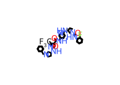 O=C(Nc1ccc(N[C@@H]2CCN(C(=O)Nc3ccccc3F)C2)nc1)c1oc(NC2CCN(Cc3ccccc3)C2)nc1C(F)(F)F